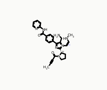 CC#CC(=O)N1CCC[C@H]1c1nc(-c2ccc(C(=O)Nc3ccccn3)cc2)c(CN)n1/C=C\NC